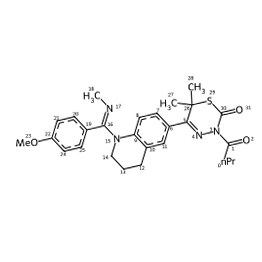 CCCC(=O)N1N=C(c2ccc3c(c2)CCCN3C(=NC)c2ccc(OC)cc2)C(C)(C)SC1=O